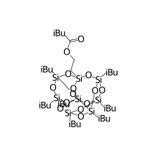 CCC(C)C(=O)OCC[Si]12O[Si]3(C(C)CC)O[Si]4(C(C)CC)O[Si](C(C)CC)(O1)O[Si]1(C(C)CC)O[Si](C(C)CC)(O2)O[Si](C(C)CC)(O3)O[Si](C(C)CC)(O4)O1